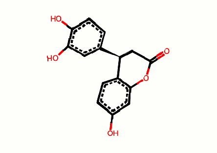 O=C1C[C@H](c2ccc(O)c(O)c2)c2ccc(O)cc2O1